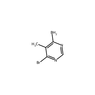 Bc1ncnc(Br)c1C